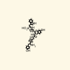 N[C@@H](Cc1ccc(O)cc1)c1noc(CNC(=O)N[C@@H](Cc2ccc(O)cc2)C(=O)NCC(=O)N[C@@H](Cc2c[nH]c3ccccc23)C(=O)O)n1